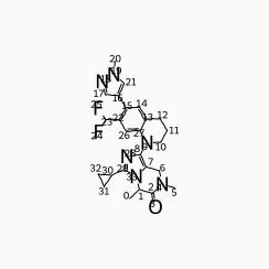 CC1C(=O)N(C)Cc2c(N3CCCc4cc(-c5cnn(C)c5)c(C(F)F)cc43)nc(C3CC3)n21